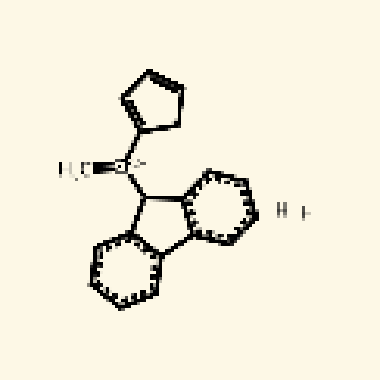 [CH2]=[Zr+2]([C]1=CC=CC1)[CH]1c2ccccc2-c2ccccc21.[H-].[H-]